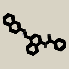 O=C(Nc1ccc(/N=N/c2ccc3ccccc3c2)c2ccccc12)c1ccccc1